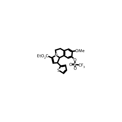 CCOC(=O)C1=CC(c2cccs2)C2c3cc(OS(=O)(=O)C(F)(F)F)c(OC)cc3CCN12